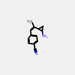 CC(=Cc1ccc(C#N)cc1)C1CC1N